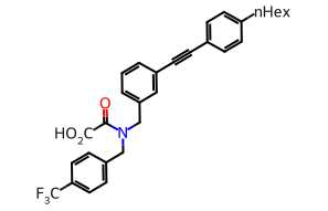 CCCCCCc1ccc(C#Cc2cccc(CN(Cc3ccc(C(F)(F)F)cc3)C(=O)C(=O)O)c2)cc1